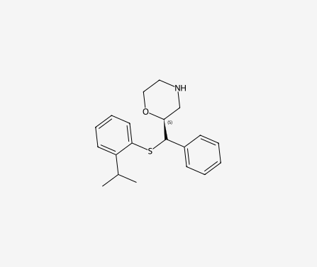 CC(C)c1ccccc1SC(c1ccccc1)[C@@H]1CNCCO1